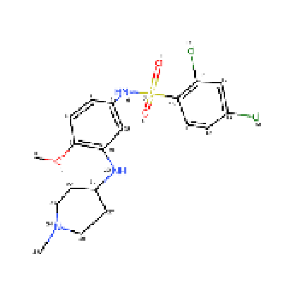 COc1ccc(NS(=O)(=O)c2ccc(Cl)cc2Cl)cc1NC1CCN(C)CC1